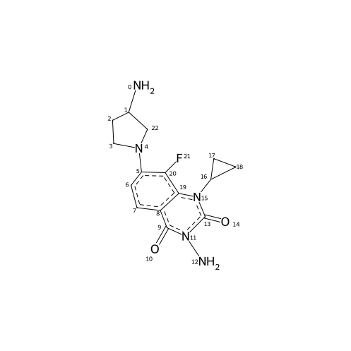 NC1CCN(c2ccc3c(=O)n(N)c(=O)n(C4CC4)c3c2F)C1